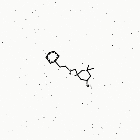 CC1(C)CC(N)CC(C)(CNCCc2ccccc2)C1